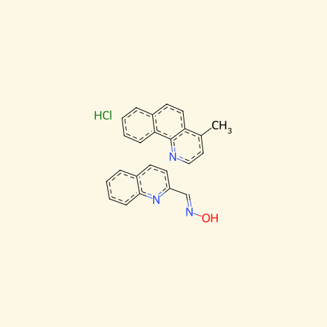 Cc1ccnc2c1ccc1ccccc12.Cl.ON=Cc1ccc2ccccc2n1